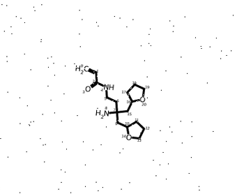 C=CC(=O)NCCC(N)(CC1CCCO1)CC1CCCO1